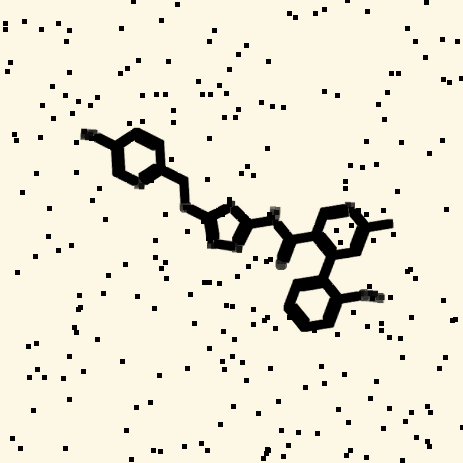 COc1ccccc1-c1cc(C)ncc1C(=O)Nc1nnc(OCc2ccc(C#N)cn2)s1